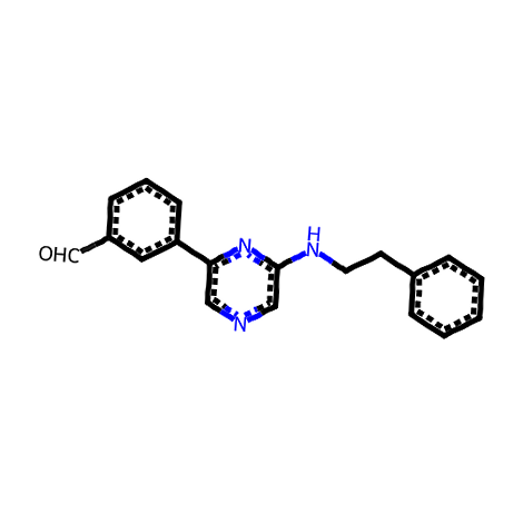 O=Cc1cccc(-c2cncc(NCCc3ccccc3)n2)c1